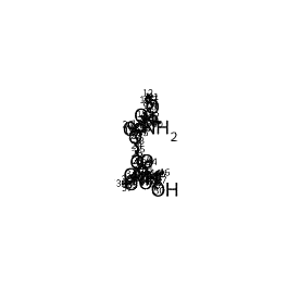 C=C1C[C@@H](CO[Si](C)(C)C(C)(C)C)N(C(=O)c2cc(OC)c(OCCCCCOc3cc(NC(=O)OC(C)(C)C)c(C(=O)N4CC(=C)C[C@H]4CO)cc3OC)cc2N)C1